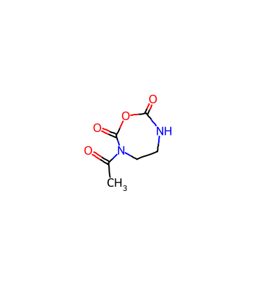 CC(=O)N1CCNC(=O)OC1=O